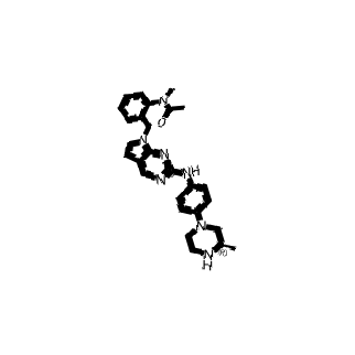 CC(=O)N(C)c1ccccc1Cn1ccc2cnc(Nc3ccc(N4CCN[C@H](C)C4)cc3)nc21